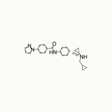 O=C(Nc1ccc([C@@H]2C[C@H]2NCC2CC2)cc1)c1ccc(-n2cccn2)cc1